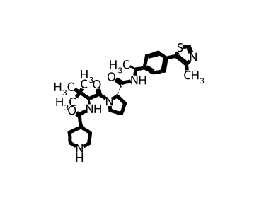 Cc1ncsc1-c1ccc([C@H](C)NC(=O)[C@@H]2CCCN2C(=O)[C@@H](NC(=O)C2CCNCC2)C(C)(C)C)cc1